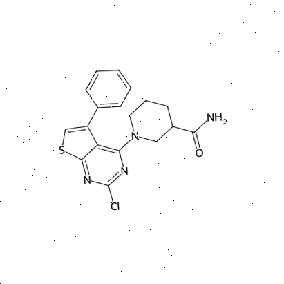 NC(=O)C1CCCN(c2nc(Cl)nc3scc(-c4ccccc4)c23)C1